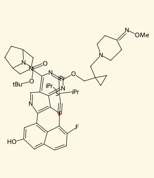 CON=C1CCN(CC2(COc3nc(N4CC5CCC(C4)N5C(=O)OC(C)(C)C)c4cnc(-c5cc(O)cc6ccc(F)c(C#C[Si](C(C)C)(C(C)C)C(C)C)c56)c(F)c4n3)CC2)CC1